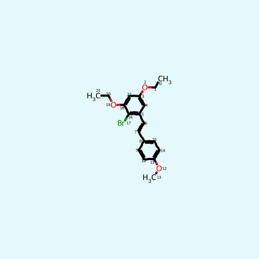 CCOc1cc(/C=C/c2ccc(OC)cc2)c(Br)c(OCC)c1